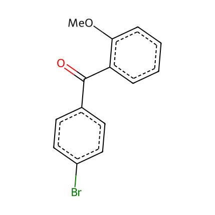 COc1ccccc1C(=O)c1ccc(Br)cc1